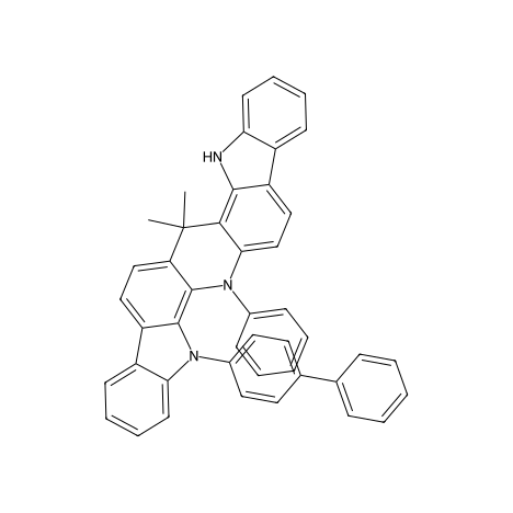 CC1(C)c2ccc3c4ccccc4n(-c4ccc(-c5ccccc5)cc4)c3c2N(c2ccccc2)c2ccc3c([nH]c4ccccc43)c21